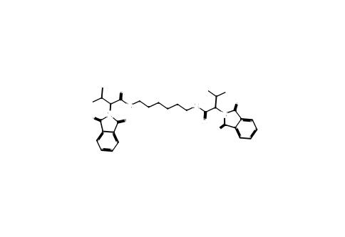 CC(C)C(C(=O)NCCCCCCNC(=O)C(C(C)C)N1C(=O)c2ccccc2C1=O)N1C(=O)c2ccccc2C1=O